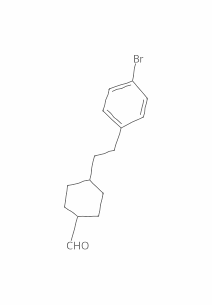 O=CC1CCC(CCc2ccc(Br)cc2)CC1